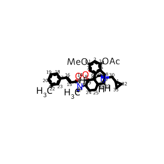 COc1cc(OC(C)=O)c2c3c1O[C@H]1[C@H](N(C)C(=O)C=Cc4cccc(C)c4)CC[C@H]4[C@@H](C2)N(CC2CC2)CC[C@@]341